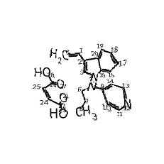 C=Cc1cn(N(CCC)c2ccncc2)c2ccccc12.O=C(O)/C=C\C(=O)O